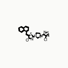 O=C1N=C(N2CCN(c3nsnc3Cl)CC2)S/C1=C\c1cccc2ccccc12